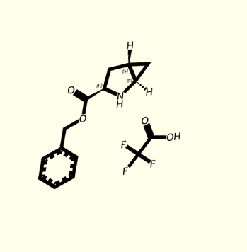 O=C(O)C(F)(F)F.O=C(OCc1ccccc1)[C@H]1C[C@@H]2C[C@H]2N1